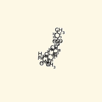 Cc1ccc(S(=O)(=O)OC[C@H]2CC[C@H]3C4CC[C@H]5N(C)C(=O)C(F)=C[C@]5(C)C4CC[C@]23C)cc1